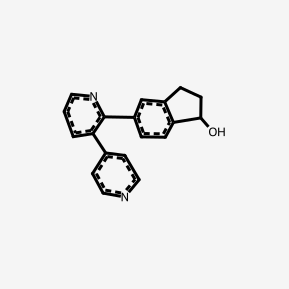 OC1CCc2cc(-c3ncccc3-c3ccncc3)ccc21